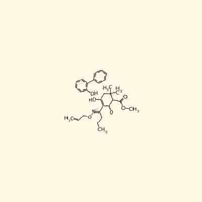 C=CCO/N=C(\CCC)C1=C(O)CC(C)(C)C(C(=O)OC)C1=O.Oc1ccccc1-c1ccccc1